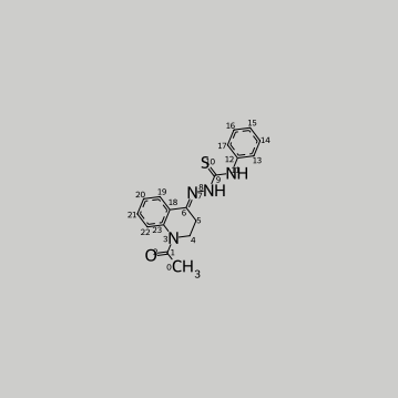 CC(=O)N1CCC(=NNC(=S)Nc2ccccc2)c2ccccc21